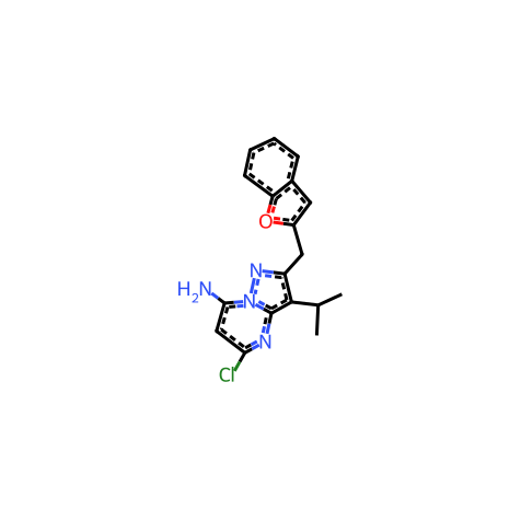 CC(C)c1c(Cc2cc3ccccc3o2)nn2c(N)cc(Cl)nc12